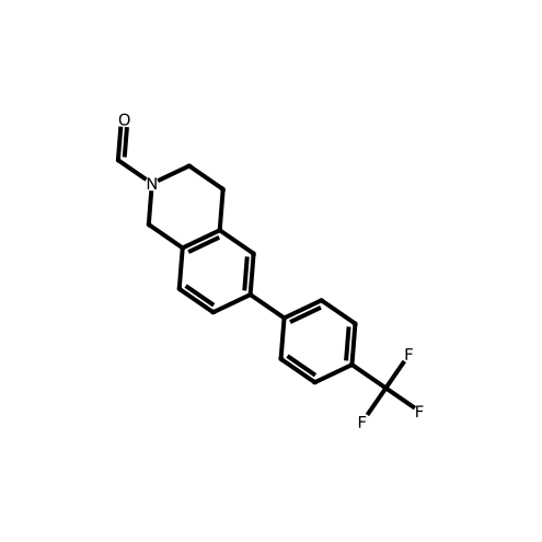 O=CN1CCc2cc(-c3ccc(C(F)(F)F)cc3)ccc2C1